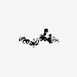 CC(C(=O)N1CCN(C(=O)C2CCN(c3ccc(C4CCC(=O)NC4=O)cn3)CC2)CC1)N1CCC2(CC1)C(=O)N([C@H]1C[C@@H](N3CCCCC3)C1)c1cc(-c3cc4ncn(C(C)C)c4c(NC4CC4)n3)ccc12